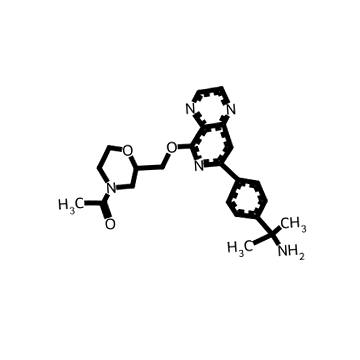 CC(=O)N1CCOC(COc2nc(-c3ccc(C(C)(C)N)cc3)cc3nccnc23)C1